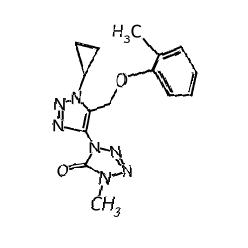 Cc1ccccc1OCc1c(-n2nnn(C)c2=O)nnn1C1CC1